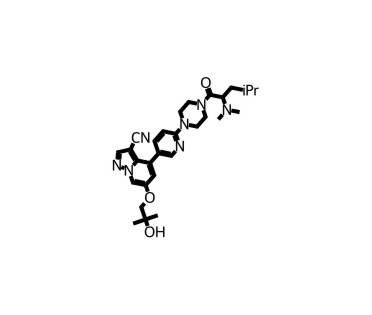 CC(C)CC(C(=O)N1CCN(c2ccc(-c3cc(OCC(C)(C)O)cn4ncc(C#N)c34)cn2)CC1)N(C)C